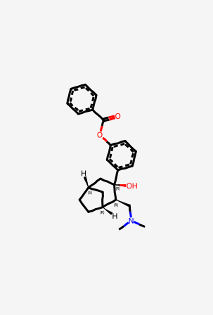 CN(C)C[C@H]1[C@@H]2CC[C@@H](C2)C[C@]1(O)c1cccc(OC(=O)c2ccccc2)c1